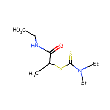 CCN(CC)C(=S)SC(C)C(=O)NCC(=O)O